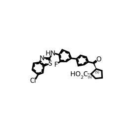 O=C(O)[C@H]1CCC[C@@H]1C(=O)c1ccc(-c2ccc(Nc3nc4ccc(Cl)cc4s3)c(F)c2)cc1